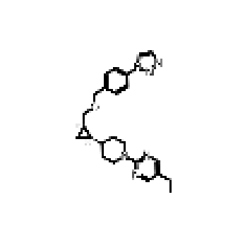 CCc1cnc(N2CCC([C@H]3C[C@H]3COCc3ccc(-n4ccnn4)cc3)CC2)nc1